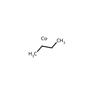 C[CH]CC.[Co]